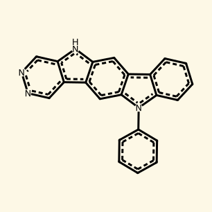 c1ccc(-n2c3ccccc3c3cc4[nH]c5cnncc5c4cc32)cc1